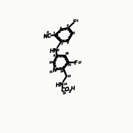 N#Cc1cc(F)ccc1Nc1cnc(CNC(=O)O)c(F)c1